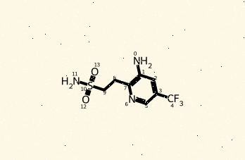 Nc1cc(C(F)(F)F)cnc1CCS(N)(=O)=O